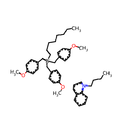 CCCCCCCC[B-](Cc1ccc(OC)cc1)(Cc1ccc(OC)cc1)Cc1ccc(OC)cc1.CCCC[n+]1cccc2ccccc21